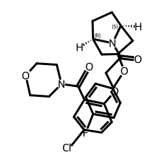 O=C(c1cc(Cl)ccc1OCC(=O)N1[C@@H]2CC[C@H]1CC(Oc1ccc(F)cc1)C2)N1CCOCC1